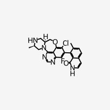 Cc1ccc2cc[nH]c(=O)c2c1-c1c(Cl)c2c3c(ncnc3c1F)N1C[C@@H](C)NC[C@H]1CO2